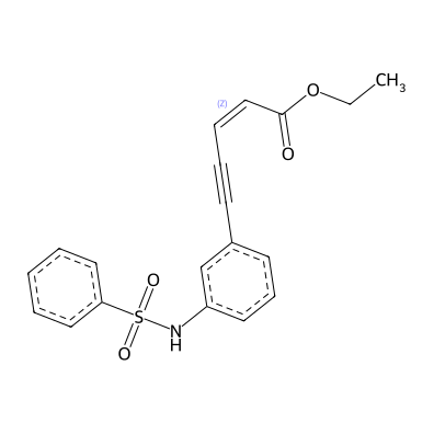 CCOC(=O)/C=C\C#Cc1cccc(NS(=O)(=O)c2ccccc2)c1